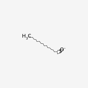 CCCCCCCCCCCCCCCCC1CC[S+]([O-])C1